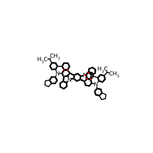 CC(C)c1ccc(N(c2ccc3c(c2)CCC3)c2ccc3c4cc5c(cc4n4c6ccccc6c2c34)c2ccc(N(c3ccc4c(c3)CCC4)c3ccc(C(C)C)cc3-c3ccccc3)c3c4ccccc4n5c23)c(-c2ccccc2)c1